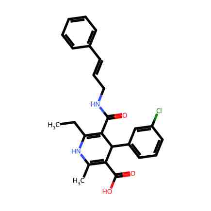 CCC1=C(C(=O)NCC=Cc2ccccc2)C(c2cccc(Cl)c2)C(C(=O)O)=C(C)N1